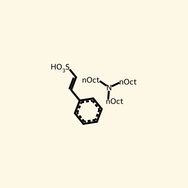 CCCCCCCCN(CCCCCCCC)CCCCCCCC.O=S(=O)(O)C=Cc1ccccc1